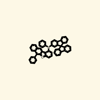 c1ccc(-c2c3ccccc3cc3c2oc2cccc(N(c4ccccc4)c4ccc5c(c4)C4(c6ccccc6-c6ccccc64)c4ccccc4-5)c23)cc1